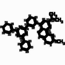 Cc1ccc2ccc3c(-c4cccc(-c5nc(C6=CCCC=C6)nc(-c6ccccc6)n5)c4)cc(C(C)C)nc3c2n1